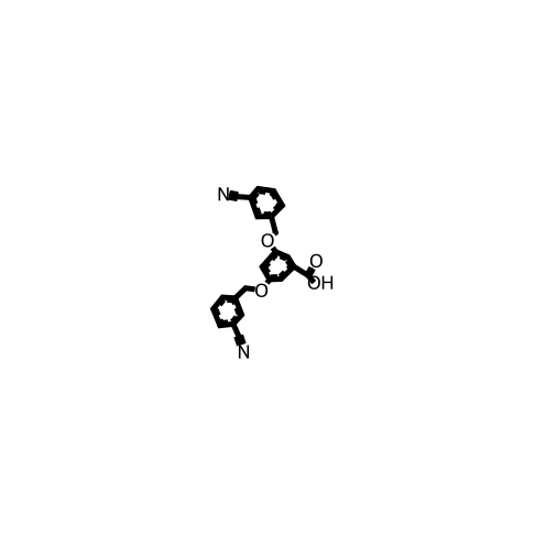 N#Cc1cccc(COc2cc(OCc3cccc(C#N)c3)cc(C(=O)O)c2)c1